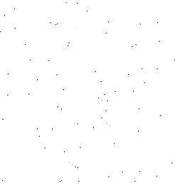 CCC(=O)NCC(CC)C(=O)N1CCC(c2ccc(C(C)CC)cc2)CC1